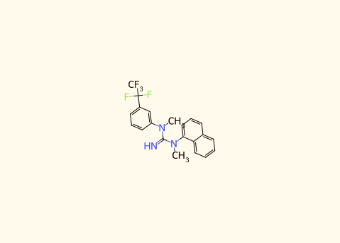 CN(C(=N)N(C)c1cccc2ccccc12)c1cccc(C(F)(F)C(F)(F)F)c1